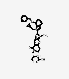 Cn1c(-c2cc3cccc(OCc4ccccc4)c3n2CC2CC2)nc2cc3c(nc21)CCN(C[C@@H](CF)NC(=O)O)C3=O